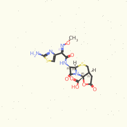 CO/N=C(\C(=O)N[C@@H]1C(=O)N2[C@@H]1SC[C@H]1CC(=O)O[C@@]12C(=O)O)c1csc(N)n1